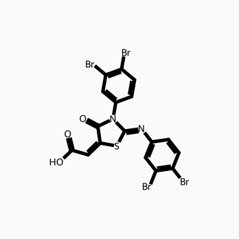 O=C(O)C=C1SC(=Nc2ccc(Br)c(Br)c2)N(c2ccc(Br)c(Br)c2)C1=O